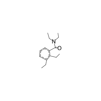 CCc1cccc(C(=O)N(CC)CC)c1CC